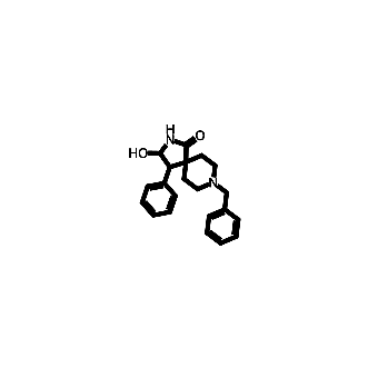 O=C1NC(O)C(c2ccccc2)C12CCN(Cc1ccccc1)CC2